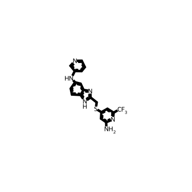 Nc1cc(SCc2nc3cc(Nc4cccnc4)ccc3[nH]2)cc(C(F)(F)F)n1